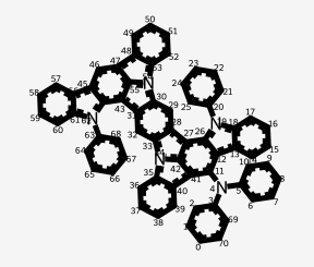 c1ccc(N(c2ccccc2)c2c3c4ccccc4n(-c4ccccc4)c3c3c4cc5c(cc4n4c6ccccc6c2c34)c2c3c(cc4c6ccccc6n5c42)c2ccccc2n3-c2ccccc2)cc1